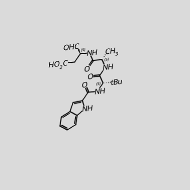 C[C@H](NC(=O)[C@@H](NC(=O)c1cc2ccccc2[nH]1)C(C)(C)C)C(=O)N[C@H](C=O)CC(=O)O